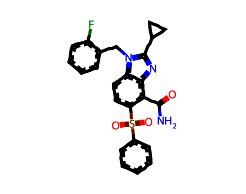 NC(=O)c1c(S(=O)(=O)c2ccccc2)ccc2c1nc(C1CC1)n2Cc1ccccc1F